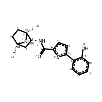 O=C(N[C@@H]1C[C@H]2CC[C@@H]1N2)c1ccc(-c2ccccc2O)s1